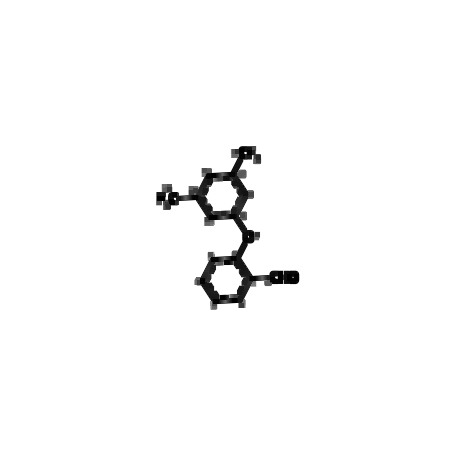 O=Cc1ccccc1Oc1cc(C(F)(F)F)cc(C(F)(F)F)c1